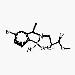 COC(=O)C(O)CN1C(C)c2cc(Br)ccc2S1(O)O